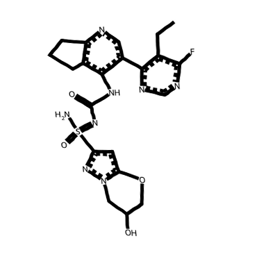 CCc1c(F)ncnc1-c1cnc2c(c1NC(=O)N=S(N)(=O)c1cc3n(n1)CC(O)CO3)CCC2